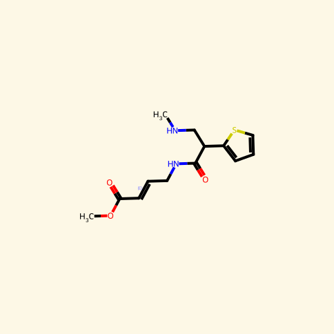 CNCC(C(=O)NC/C=C/C(=O)OC)c1cccs1